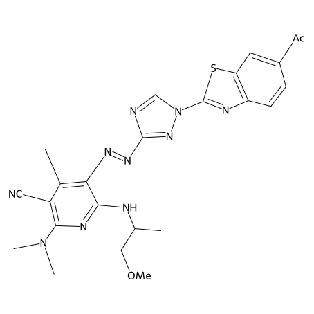 COCC(C)Nc1nc(N(C)C)c(C#N)c(C)c1N=Nc1ncn(-c2nc3ccc(C(C)=O)cc3s2)n1